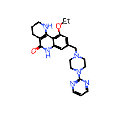 CCOc1cc(CN2CCN(c3ncccn3)CC2)cc2[nH]c(=O)c3c(c12)NCCC3